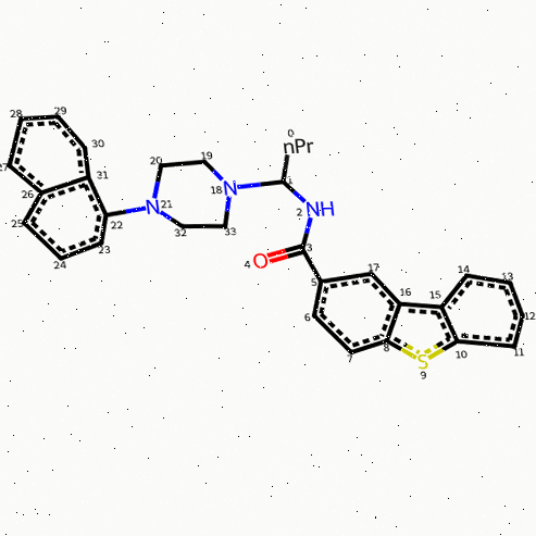 CCCC(NC(=O)c1ccc2sc3ccccc3c2c1)N1CCN(c2cccc3ccccc23)CC1